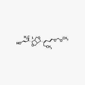 C=C(/C=C/O)[C@H]1OCC2[C@@H](/C(=C/C=C/OCOC)CC)OC[C@@]21I